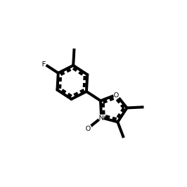 Cc1cc(-c2oc(C)c(C)[n+]2[O-])ccc1F